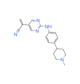 C=C(C#N)c1cnc(Nc2ccc(C3CCN(C)CC3)cc2)nc1